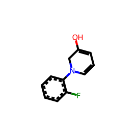 OC1=CC=CN(c2ccccc2F)C1